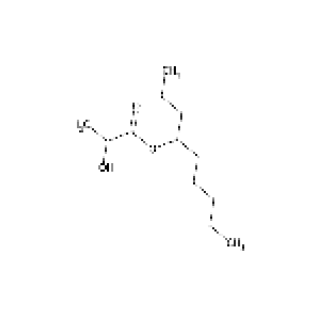 CCCCCC(CCC)OC(=O)C(C)O